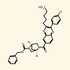 O=C(O)CCCCc1nc2cc(C(=O)N3C[C@H]4C[C@@H]3CN4C(=O)OCc3ccccc3)ccc2nc1-c1ccc(Cl)cc1